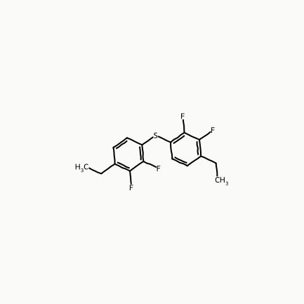 CCc1ccc(Sc2ccc(CC)c(F)c2F)c(F)c1F